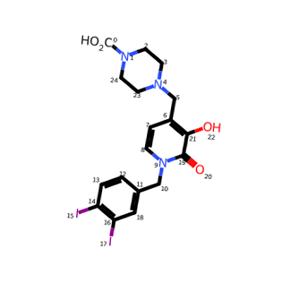 O=C(O)N1CCN(Cc2ccn(Cc3ccc(I)c(I)c3)c(=O)c2O)CC1